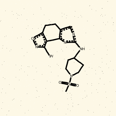 CC(C)c1noc2c1-c1nc(NC3CCN(S(C)(=O)=O)CC3)ncc1CC2